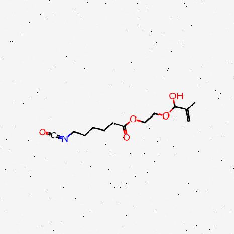 C=C(C)C(O)OCCOC(=O)CCCCCN=C=O